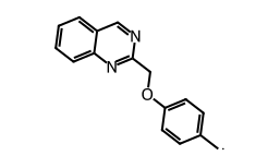 [CH2]c1ccc(OCc2ncc3ccccc3n2)cc1